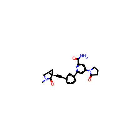 CN1CC2C[C@]2(C#Cc2cccc(-c3cc(N4CCCC4=O)cc(C(N)=O)n3)c2)C1=O